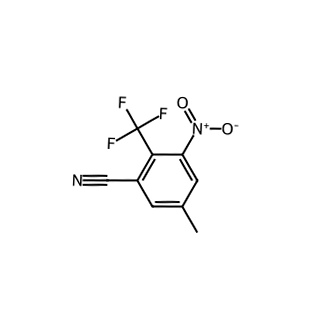 Cc1cc(C#N)c(C(F)(F)F)c([N+](=O)[O-])c1